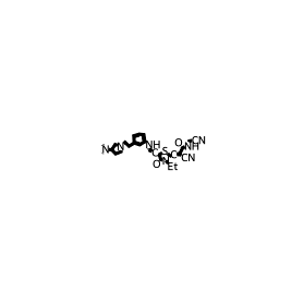 CCn1c(=C=C(C#N)C(=O)NCC#N)sc(=C=CNc2cccc(CCN3CCC(N(C)C)C3)c2)c1=O